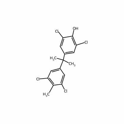 Cc1c(Cl)cc(C(C)(C)c2cc(Cl)c(O)c(Cl)c2)cc1Cl